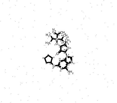 CC(C)[Si](O[C@H]1C(=O)[C@H](n2cnc3c(N)nc(OC4CCCC4)nc32)O[C@@H]1C)(C(C)C)C(C)C